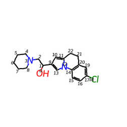 OC(CN1CCCCC1)c1cc2n(c1)-c1ccc(Cl)cc1CC2